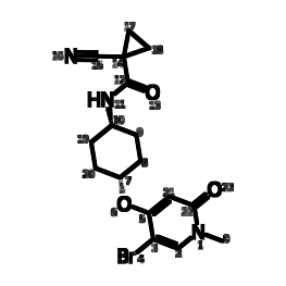 Cn1cc(Br)c(O[C@H]2CC[C@H](NC(=O)C3(C#N)CC3)CC2)cc1=O